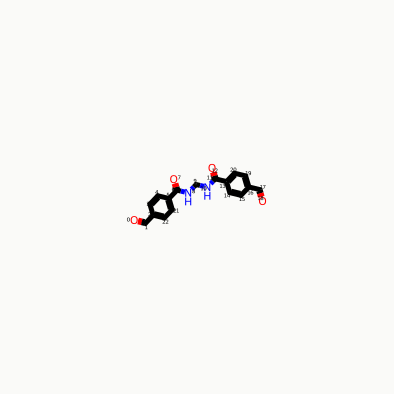 O=Cc1ccc(C(=O)NCNC(=O)c2ccc(C=O)cc2)cc1